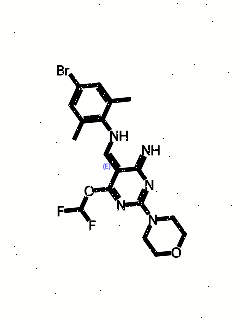 Cc1cc(Br)cc(C)c1N/C=C1\C(=N)N=C(N2CCOCC2)N=C1OC(F)F